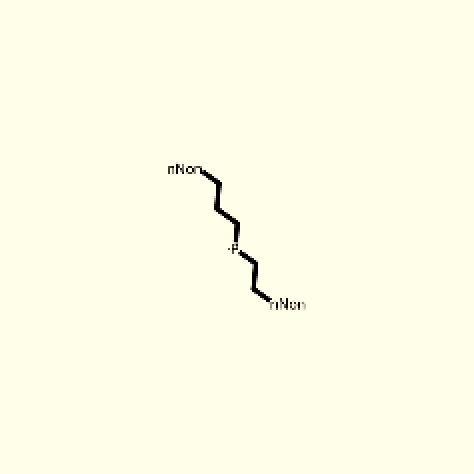 CCCCCCCCCCCC[P]CCCCCCCCCCC